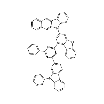 c1ccc(-c2nc(-c3ccc4c5ccccc5n(-c5ccccc5)c4c3)nc(-c3cc(-n4c5ccccc5c5cc6ccccc6cc54)cc4oc5ccccc5c34)n2)cc1